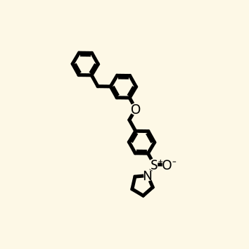 [O-][S+](c1ccc(COc2cccc(Cc3ccccc3)c2)cc1)N1CCCC1